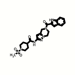 CS(=O)(=O)N1CCC(C(=O)Nc2cc3n(n2)CCN(C(=O)c2cc4ccccc4[nH]2)C3)CC1